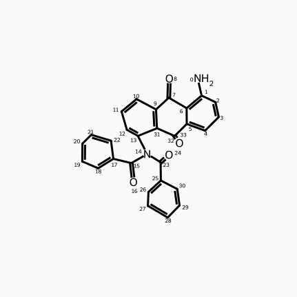 Nc1cccc2c1C(=O)c1cccc(N(C(=O)c3ccccc3)C(=O)c3ccccc3)c1C2=O